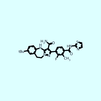 Cc1c(C(=O)Nc2nccs2)ccc(-c2nn3c(c2C(N)=O)Nc2ccc(C(C)(C)C)cc2CC3)c1F